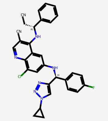 N#CC[C@@H](Nc1c(C#N)cnc2c(Cl)cc(N[C@@H](c3ccc(F)cc3)c3cn(C4CC4)nn3)cc12)c1ccccc1